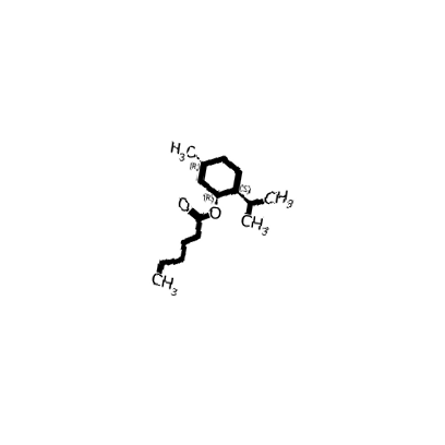 CCCCCC(=O)O[C@@H]1C[C@H](C)CC[C@H]1C(C)C